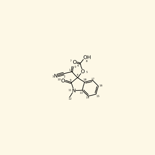 C=C(C#N)C1(OC(=O)O)C(=O)N(C)c2ccccc21